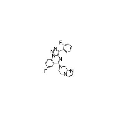 Fc1ccc2c(c1)c(N1CCn3ccnc3C1)nc1c(-c3ccccc3F)nnn12